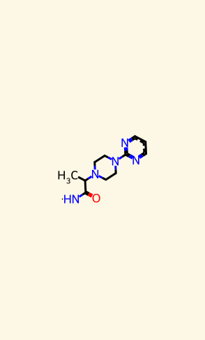 CC(C([NH])=O)N1CCN(c2ncccn2)CC1